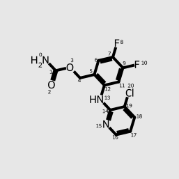 NC(=O)OCc1cc(F)c(F)cc1Nc1ncccc1Cl